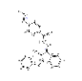 C/N=C/c1ccc(C(=O)N/N=C2\C(=O)N(Cc3ccccc3)c3ccccc32)cn1